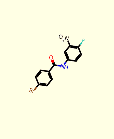 O=C(Nc1ccc(F)c([N+](=O)[O-])c1)c1ccc(Br)cc1